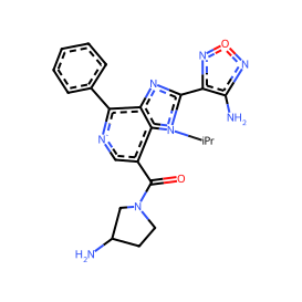 CC(C)n1c(-c2nonc2N)nc2c(-c3ccccc3)ncc(C(=O)N3CCC(N)C3)c21